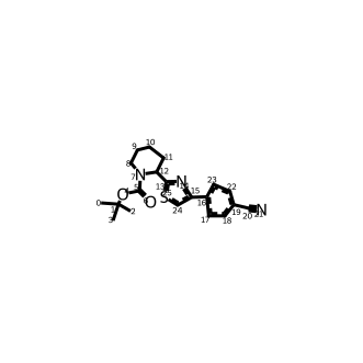 CC(C)(C)OC(=O)N1CCCCC1c1nc(-c2ccc(C#N)cc2)cs1